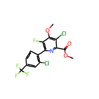 COC(=O)c1nc(-c2ccc(C(F)(F)F)cc2Cl)c(F)c(OC)c1Cl